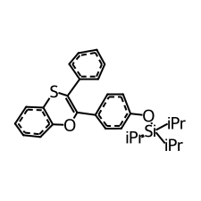 CC(C)[Si](Oc1ccc(C2=C(c3ccccc3)Sc3ccccc3O2)cc1)(C(C)C)C(C)C